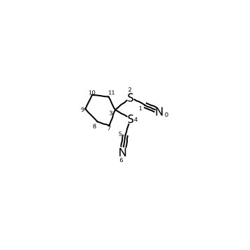 N#CSC1(SC#N)CCCCC1